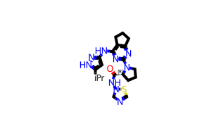 CC(C)c1cc(Nc2nc(N3CCC[C@@H]3C(=O)NN3CN=CS3)nc3c2CCC3)n[nH]1